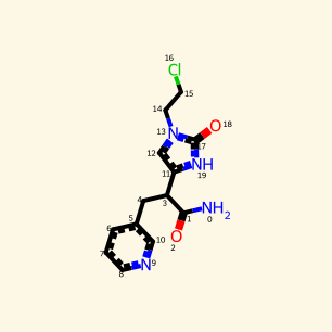 NC(=O)C(Cc1cccnc1)c1cn(CCCl)c(=O)[nH]1